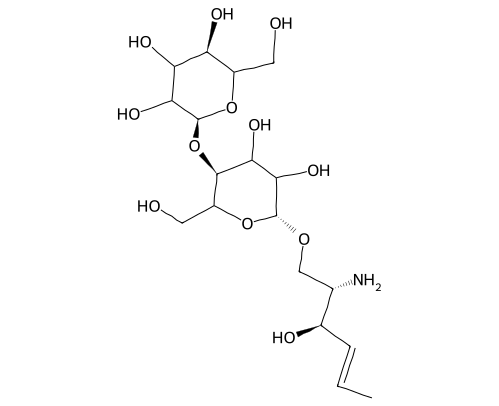 C/C=C/[C@@H](O)[C@@H](N)CO[C@@H]1OC(CO)[C@@H](O[C@@H]2OC(CO)[C@H](O)C(O)C2O)C(O)C1O